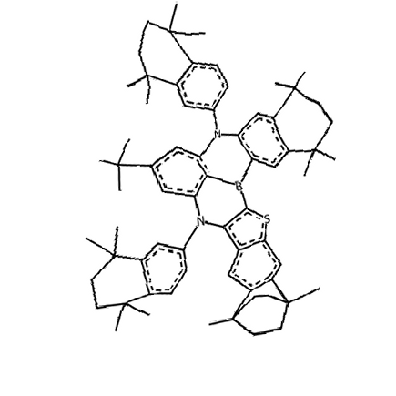 CC(C)(C)c1cc2c3c(c1)N(c1ccc4c(c1)C(C)(C)CCC4(C)C)c1c(sc4cc5c(cc14)C1(C)CCC5(C)CC1)B3c1cc3c(cc1N2c1ccc2c(c1)C(C)(C)CCC2(C)C)C(C)(C)CCC3(C)C